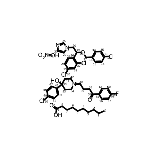 CCCCCCCCCC(=O)O.Clc1ccc(COC(Cn2ccnc2)c2ccc(Cl)cc2Cl)cc1.O=C(CCCN1CCC(O)(c2ccc(Cl)cc2)CC1)c1ccc(F)cc1.O=[N+]([O-])O